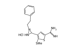 CSc1sc(C(=N)N)cc1C1NN1CCc1ccccc1.Cl